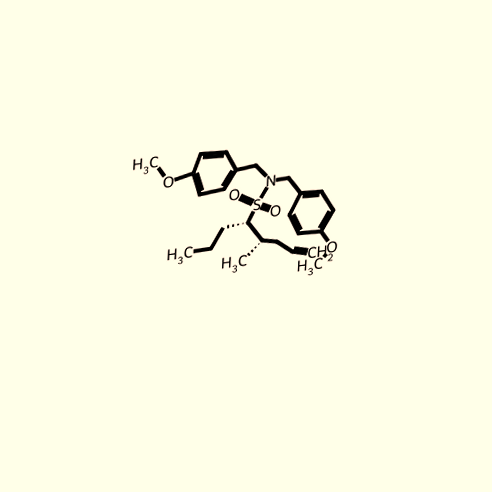 C=CC[C@H](C)[C@H](CCC)S(=O)(=O)N(Cc1ccc(OC)cc1)Cc1ccc(OC)cc1